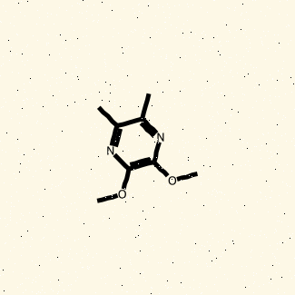 COc1nc(C)c(C)nc1OC